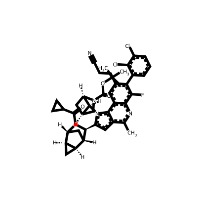 Cc1nc2c(F)c(-c3cccc(Cl)c3Cl)c(CCC#N)cc2c2c1cc([C@H]1[C@H]3C[C@H]([C@@H]4C[C@@H]43)N1C(=O)C1CC1)n2[C@H]1[C@@H]2C[C@H]1N(C(=O)OC(C)(C)C)C2